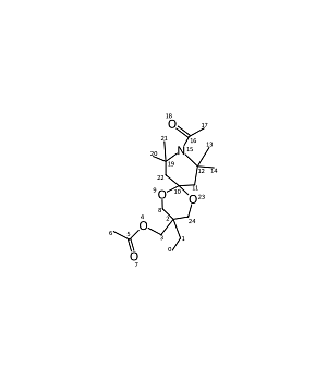 CCC1(COC(C)=O)COC2(CC(C)(C)N(C(C)=O)C(C)(C)C2)OC1